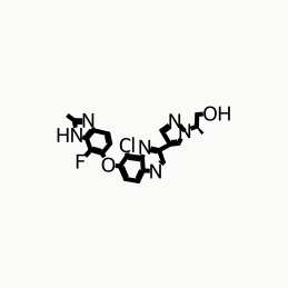 Cc1nc2ccc(Oc3ccc4ncc(-c5cnn([C@H](C)CO)c5)nc4c3Cl)c(F)c2[nH]1